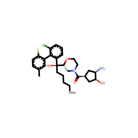 COCCCC[C@](O)(c1cccc(Cl)c1-c1cc(C)ccc1F)[C@H]1CN(C(=O)[C@H]2C[C@@H](N)[C@@H](O)C2)CCO1